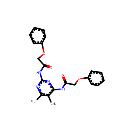 Cc1nc(NC(=O)COc2ccccc2)nc(NC(=O)COc2ccccc2)c1C